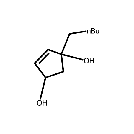 CCCCCC1(O)C=CC(O)C1